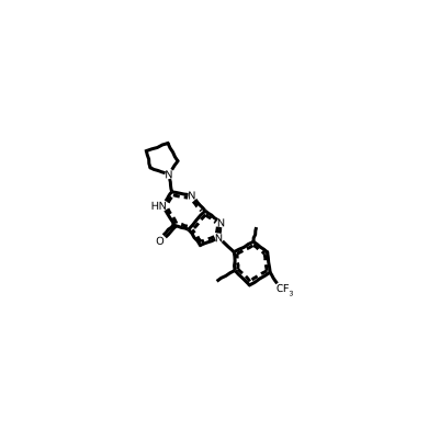 Cc1cc(C(F)(F)F)cc(C)c1-n1cc2c(=O)[nH]c(N3CCCC3)nc2n1